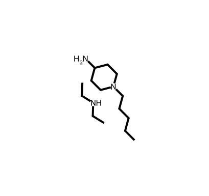 CCCCCN1CCC(N)CC1.CCNCC